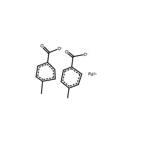 Cc1ccc(C(=O)[O-])cc1.Cc1ccc(C(=O)[O-])cc1.[Pd+2]